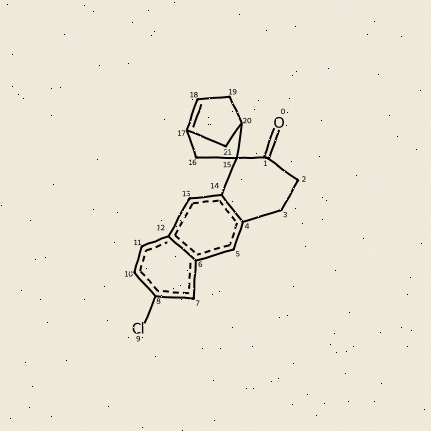 O=C1CCc2cc3cc(Cl)ccc3cc2C12CC1=CCC2C1